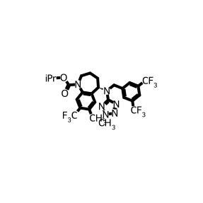 Cc1cc2c(cc1C(F)(F)F)N(C(=O)OC(C)C)CCC[C@@H]2N(Cc1cc(C(F)(F)F)cc(C(F)(F)F)c1)c1nnn(C)n1